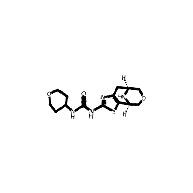 O=C(Nc1nc2c(s1)[C@@H]1COC[C@H](C2)N1)NC1CCOCC1